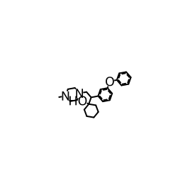 CN1CCN(CC(c2cccc(Oc3ccccc3)c2)C2(O)CCCCC2)CC1